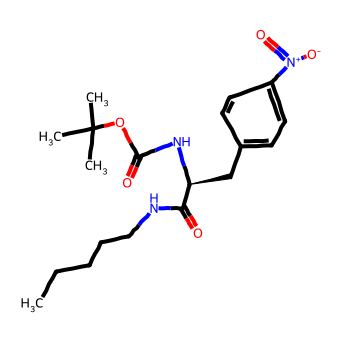 CCCCCNC(=O)[C@H](Cc1ccc([N+](=O)[O-])cc1)NC(=O)OC(C)(C)C